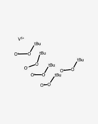 CC(C)(C)O[O-].CC(C)(C)O[O-].CC(C)(C)O[O-].CC(C)(C)O[O-].CC(C)(C)O[O-].[V+5]